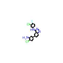 Nc1cc(-c2ccc3ncnc(Nc4ccc(F)c(Cl)c4)c3c2)ccc1Cl